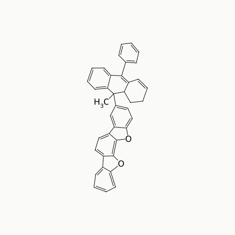 CC1(c2ccc3oc4c(ccc5c6ccccc6oc54)c3c2)c2ccccc2C(c2ccccc2)=C2C=CCCC21